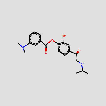 CC(C)NCC(=O)c1ccc(OC(=O)c2cccc(N(C)C)c2)c(O)c1